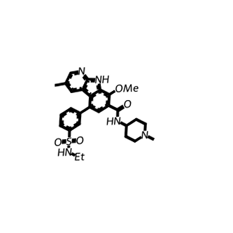 CCNS(=O)(=O)c1cccc(-c2cc(C(=O)NC3CCN(C)CC3)c(OC)c3[nH]c4ncc(C)cc4c23)c1